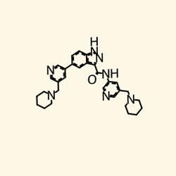 O=C(Nc1cncc(CN2CCCCC2)c1)c1n[nH]c2ccc(-c3cncc(CN4CCCCC4)c3)cc12